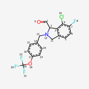 O=CC1c2c(ccc(F)c2Cl)CN1Cc1ccc(OC(F)(F)F)cc1